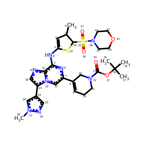 CC1C=C(Nc2nc(C3=CCCN(C(=O)OC(C)(C)C)C3)cn3c(-c4cnn(C)c4)cnc23)SC1S(=O)(=O)N1CCOCC1